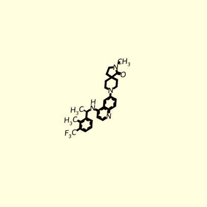 Cc1c([C@@H](C)Nc2ccnc3ccc(N4CCC5(CCN(C)C5=O)CC4)cc23)cccc1C(F)(F)F